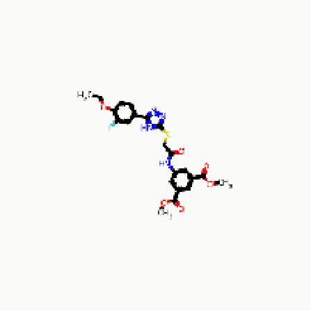 CCOc1ccc(-c2nnc(SCC(=O)Nc3cc(C(=O)OC)cc(C(=O)OC)c3)[nH]2)cc1F